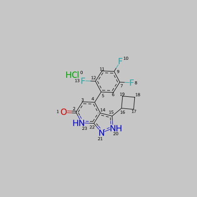 Cl.O=c1cc(-c2cc(F)c(F)cc2F)c2c(C3CCC3)[nH]nc2[nH]1